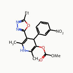 CCc1nnc(C2=C(C)NC(C)=C(OC(=O)OC)C2c2cccc([N+](=O)[O-])c2)o1